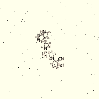 N#CCC(C1CCN(c2cncc(Cl)c2C#N)C1)n1cc(-c2ncnc3[nH]ccc23)cn1